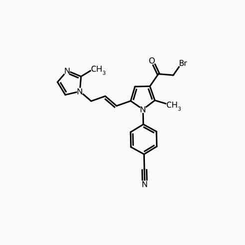 Cc1nccn1CC=Cc1cc(C(=O)CBr)c(C)n1-c1ccc(C#N)cc1